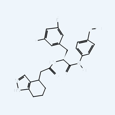 COc1ccc(N(C)C(=O)[C@H](Cc2cc(F)cc(F)c2)NC(=O)CC2CCCc3[nH]ncc32)cc1